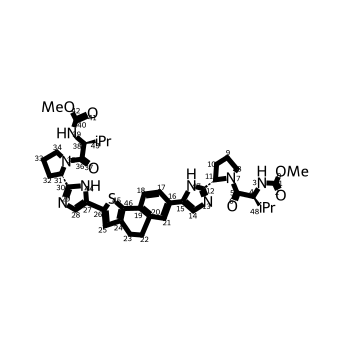 COC(=O)N[C@H](C(=O)N1CCC[C@H]1c1ncc(-c2ccc3c(c2)CCc2cc(-c4cnc([C@@H]5CCCN5C(=O)[C@@H](NC(=O)OC)C(C)C)[nH]4)sc2-3)[nH]1)C(C)C